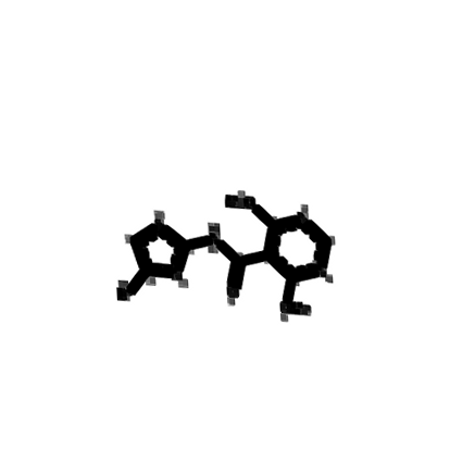 COc1ncnc(OC)c1C(=O)Nc1nc(Br)cs1